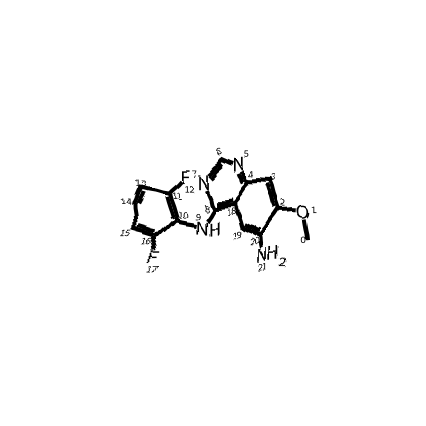 COc1cc2ncnc(Nc3c(F)cccc3F)c2cc1N